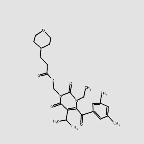 CCn1c(C(=O)c2cc(C)cc(C)c2)c(C(C)C)c(=O)n(COC(=O)CCN2CCOCC2)c1=O